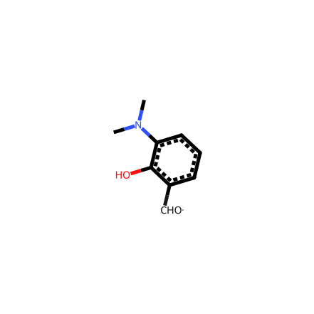 CN(C)c1cccc([C]=O)c1O